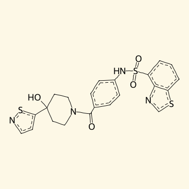 O=C(c1ccc(NS(=O)(=O)c2cccc3scnc23)cc1)N1CCC(O)(c2ccns2)CC1